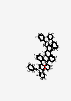 C1=C(c2ccccc2)C(n2c(-c3ccccc3)nc3c4ccc5c(N(c6ccccc6)c6ccccc6-c6ccc7c8ccccc8n(-c8ccccc8)c7c6)cccc5c4ccc32)=CCC1